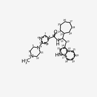 CN1CCN(c2ncc(C(=O)NC(Cc3c[nH]c4ccccc34)C3CCCCCC3)s2)CC1